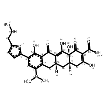 CN(C)c1cc(-c2ccc(CNC(C)(C)C)o2)c(O)c2c1C[C@H]1C[C@H]3CC(O)=C(C(N)=O)C(=O)[C@@]3(O)C(O)=C1C2=O